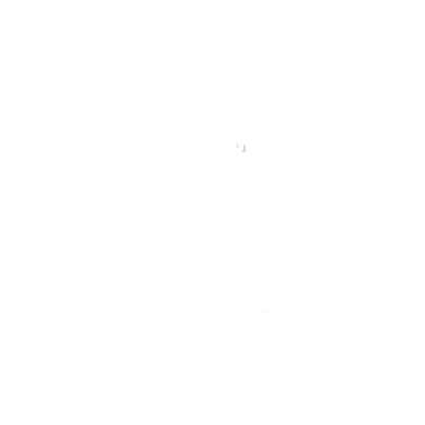 BrCCCOc1cccc2cc[nH]c12